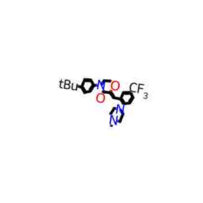 CN1CCN(c2ccc(C(F)(F)F)cc2C=C2OCCN(c3ccc(C(C)(C)C)cc3)C2=O)CC1